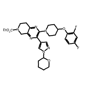 CCOC(=O)N1CCc2nc(N3CCC(Oc4ccc(F)cc4F)CC3)c(-c3cnn(C4CCCCO4)c3)nc2C1